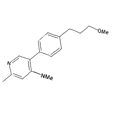 CNc1cc(C)ncc1-c1ccc(CCCOC)cc1